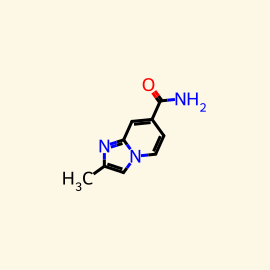 Cc1cn2ccc(C(N)=O)cc2n1